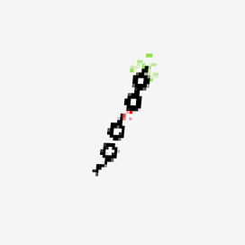 CCC[C@H]1CC[C@H](C2CCC(COc3ccc(-c4cc(F)c(C(F)(F)F)c(F)c4)cc3)CC2)CC1